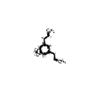 C=C.C=CCc1cccc(CC=C)c1